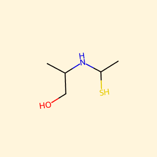 CC(S)NC(C)CO